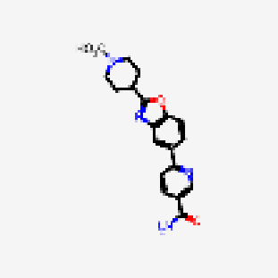 NC(=O)c1ccc(-c2ccc3oc(C4CCN(C(=O)O)CC4)nc3c2)nc1